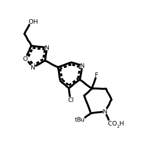 CC(C)(C)C1CC(F)(c2ncc(-c3noc(CO)n3)cc2Cl)CCN1C(=O)O